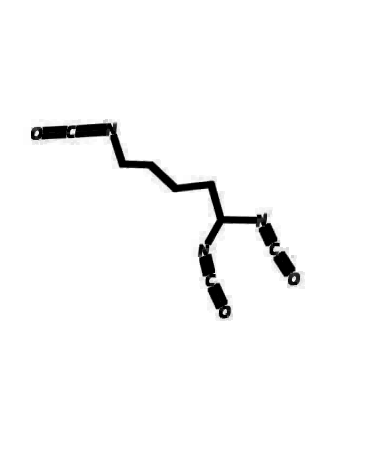 O=C=NCCCCC(N=C=O)N=C=O